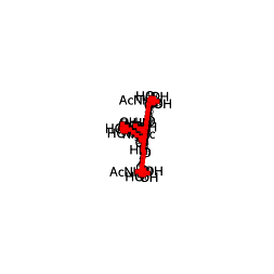 CC(=O)NC1[C@H](OCCCCCCC(=O)NCCCN(CCCN(CCCNC(=O)CCCCCCO[C@@H]2OC(CO)[C@H](O)[C@H](O)C2NC(C)=O)C(=O)C(O)COP(C)(=O)O)C(=O)CCCCCCO[C@@H]2OC(CO)[C@H](O)[C@H](O)C2NC(C)=O)OC(CO)[C@H](O)[C@@H]1O